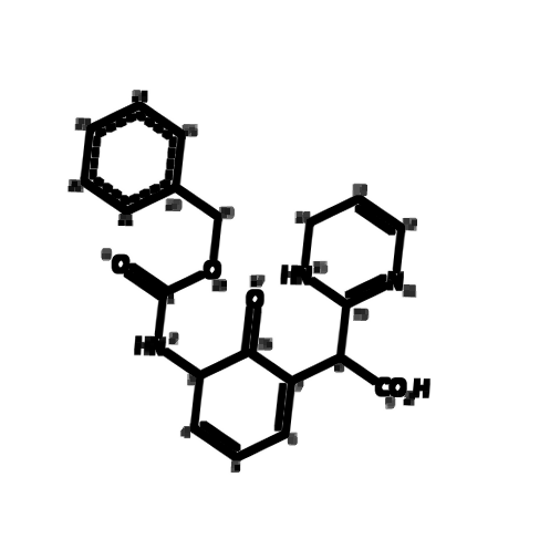 O=C(NC1C=CC=C(C(C(=O)O)C2=NC=CCN2)C1=O)OCc1ccccc1